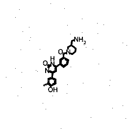 Cc1cc(-c2cc(-c3cccc(C(=O)N4CCCC(CN)C4)c3)[nH]c(=O)n2)ccc1O